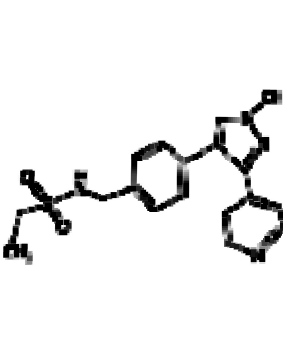 CCS(=O)(=O)NCc1ccc(-c2cn(C)nc2-c2ccncc2)cc1